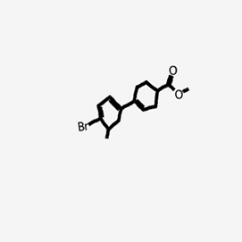 COC(=O)C1CC=C(C2=CC=C(Br)C(C)C2)CC1